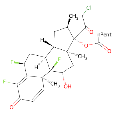 CCCCCC(=O)O[C@@]1(C(=O)CCl)[C@H](C)C[C@H]2[C@@H]3C[C@H](F)C4=C(F)C(=O)C=C[C@]4(C)[C@@]3(F)[C@@H](O)C[C@@]21C